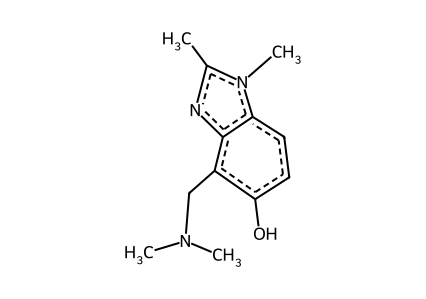 Cc1nc2c(CN(C)C)c(O)ccc2n1C